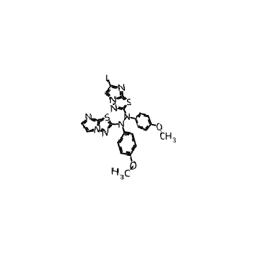 COc1ccc(N(c2nn3ccnc3s2)N(c2ccc(OC)cc2)c2nn3cc(I)nc3s2)cc1